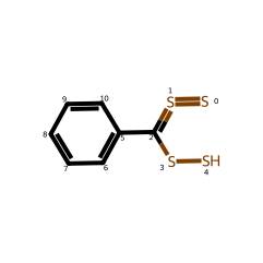 S=S=C(SS)c1ccccc1